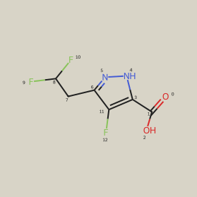 O=C(O)c1[nH]nc(CC(F)F)c1F